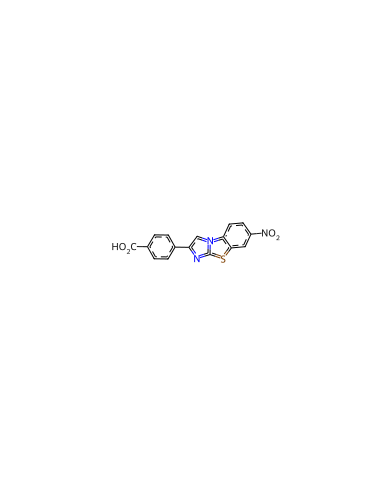 O=C(O)c1ccc(-c2cn3c(n2)sc2cc([N+](=O)[O-])ccc23)cc1